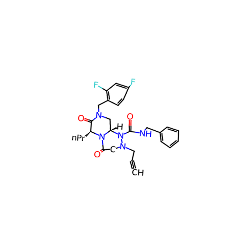 C#CCN1CC(=O)N2[C@@H](CCC)C(=O)N(Cc3ccc(F)cc3F)C[C@@H]2N1C(=O)NCc1ccccc1